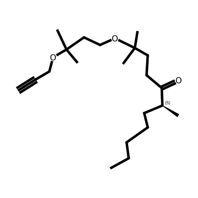 C#CCOC(C)(C)CCOC(C)(C)CCC(=O)[C@@H](C)CCCCC